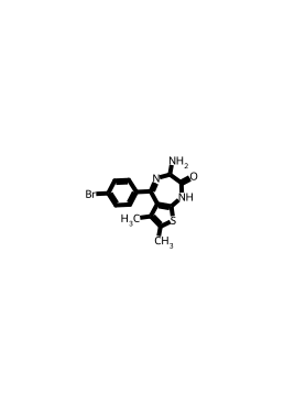 Cc1sc2c(c1C)C(c1ccc(Br)cc1)=NC(N)C(=O)N2